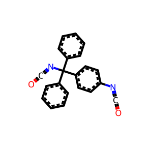 O=C=Nc1ccc(C(N=C=O)(c2ccccc2)c2ccccc2)cc1